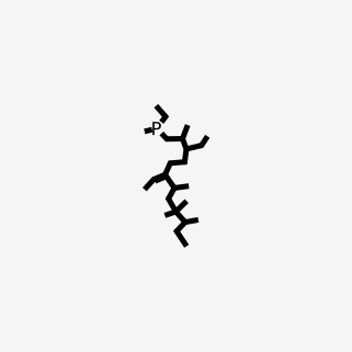 C/C=C(/CCC(CC)C(C)CP(C)CC)C(C)CC(C)(C)C(C)CC